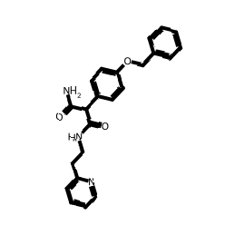 NC(=O)C(C(=O)NCCc1ccccn1)c1ccc(OCc2ccccc2)cc1